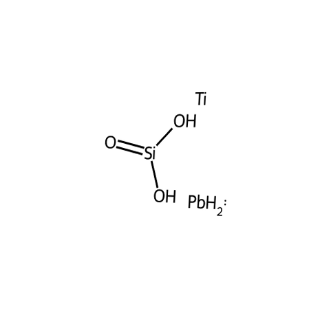 O=[Si](O)O.[PbH2].[Ti]